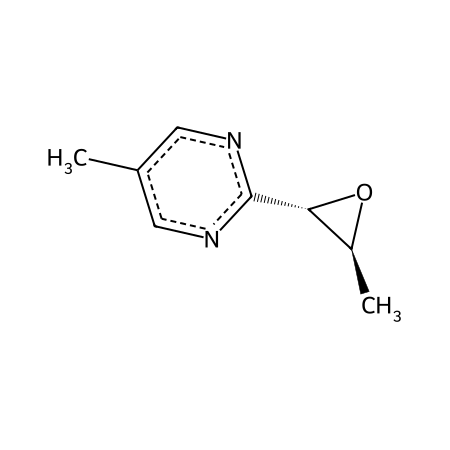 Cc1cnc([C@@H]2O[C@H]2C)nc1